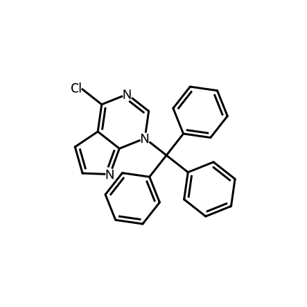 Clc1ncn(C(c2ccccc2)(c2ccccc2)c2ccccc2)c2nccc1-2